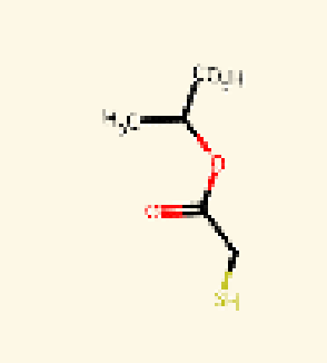 CC(OC(=O)CS)C(=O)O